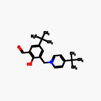 CC(C)(C)c1cc[n+](Cc2cc(C(C)(C)C)cc(C=O)c2O)cc1